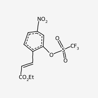 CCOC(=O)/C=C/c1ccc([N+](=O)[O-])cc1OS(=O)(=O)C(F)(F)F